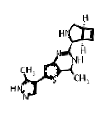 Cc1[nH]ncc1-c1cc2c(s1)C(C)NC([C@H]1NC[C@H]3C=C[C@H]31)=N2